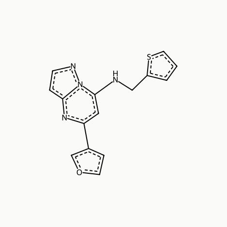 c1csc(CNc2cc(-c3ccoc3)nc3ccnn23)c1